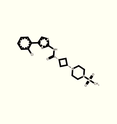 CS(=O)(=O)N1CCN([C@H]2C[C@@H](C(=O)Nc3nc(-c4ccccc4Cl)cs3)C2)CC1